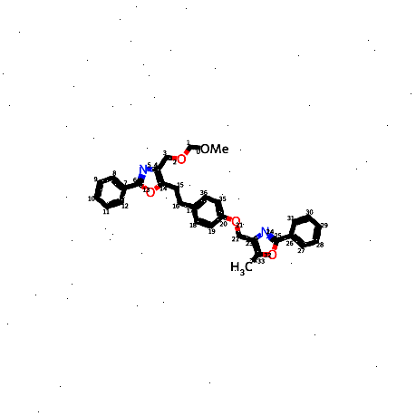 COCOCc1nc(-c2ccccc2)oc1CCc1ccc(OCc2nc(-c3ccccc3)oc2C)cc1